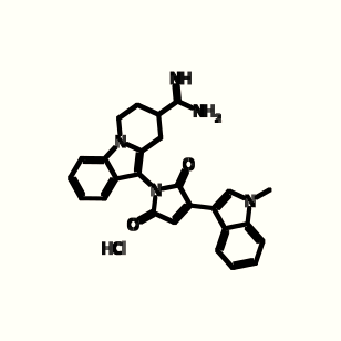 Cl.Cn1cc(C2=CC(=O)N(c3c4n(c5ccccc35)CCC(C(=N)N)C4)C2=O)c2ccccc21